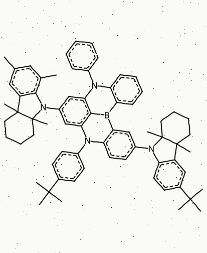 Cc1cc(C)c2c(c1)C1(C)CCCCC1(C)N2c1cc2c3c(c1)N(c1ccc(C(C)(C)C)cc1)c1ccc(N4c5ccc(C(C)(C)C)cc5C5(C)CCCCC45C)cc1B3c1ccccc1N2c1ccccc1